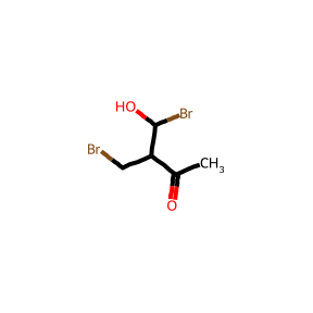 CC(=O)C(CBr)C(O)Br